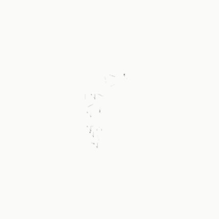 Cc1ncc2oc(-c3ccc(NC(=O)Cc4ccc(OC(F)(F)F)cc4)cn3)nn12